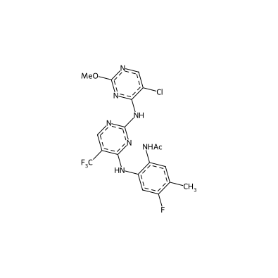 COc1ncc(Cl)c(Nc2ncc(C(F)(F)F)c(Nc3cc(F)c(C)cc3NC(C)=O)n2)n1